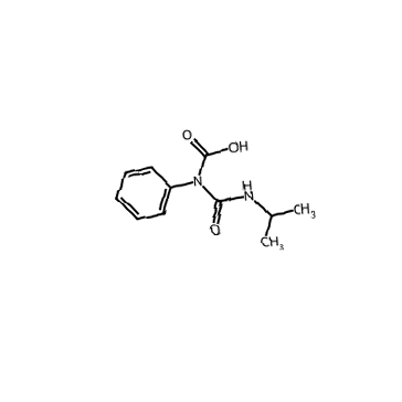 CC(C)NC(=O)N(C(=O)O)c1ccccc1